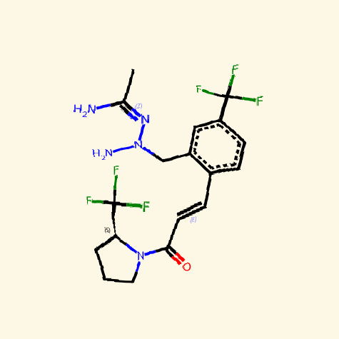 C/C(N)=N/N(N)Cc1cc(C(F)(F)F)ccc1/C=C/C(=O)N1CCC[C@H]1C(F)(F)F